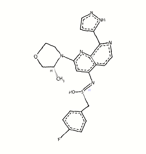 C[C@@H]1COCCN1c1cc(/N=S(\O)Cc2ccc(F)cc2)c2ccnc(-c3ccn[nH]3)c2n1